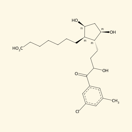 Cc1cc(Cl)cc(C(=O)C(O)CC[C@@H]2[C@@H](CCCCCCC(=O)O)[C@@H](O)C[C@H]2O)c1